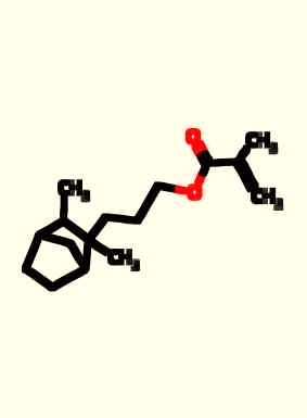 C=C(C)C(=O)OCCCC1(C)C2CCC(C2)C1C